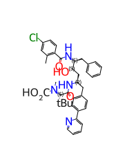 Cc1cc(Cl)ccc1C(=O)N[C@@H](Cc1ccccc1)[C@@H](O)C[C@@H](Cc1ccc(-c2ccccn2)cc1)NC(=O)[C@@H](N(C)C(=O)O)C(C)(C)C